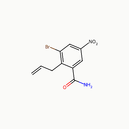 C=CCc1c(Br)cc([N+](=O)[O-])cc1C(N)=O